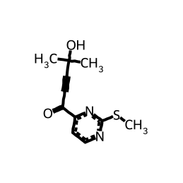 CSc1nccc(C(=O)C#CC(C)(C)O)n1